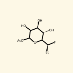 CC[C@H](F)C1OC(OC(C)=O)C(O)[C@@H](O)[C@@H]1O